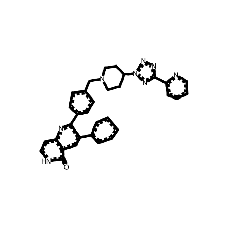 O=c1[nH]ccc2nc(-c3ccc(CN4CCC(n5nnc(-c6ccccn6)n5)CC4)cc3)c(-c3ccccc3)cc12